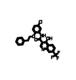 O=C(Nc1cc(Cl)ccc1OCCc1ccccc1)c1cnc2cc(C(F)(F)F)ccc2c1O